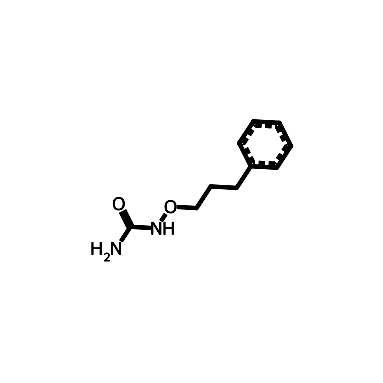 NC(=O)NOCCCc1ccccc1